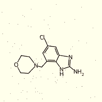 Nc1nc2cc(Cl)cc(CN3CCOCC3)c2[nH]1